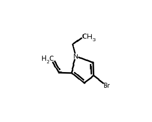 C=Cc1cc(Br)cn1CC